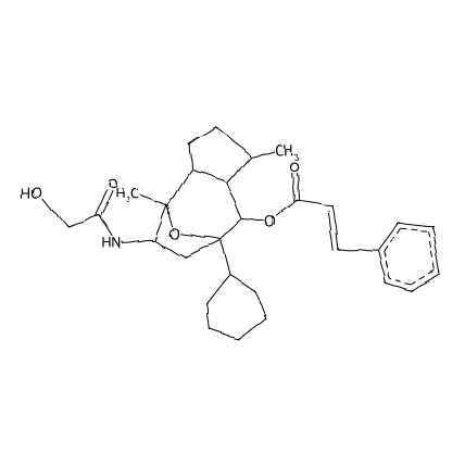 CC1CCC2C1C(OC(=O)/C=C/c1ccccc1)C1(C3CCCCC3)CC(NC(=O)CO)C2(C)O1